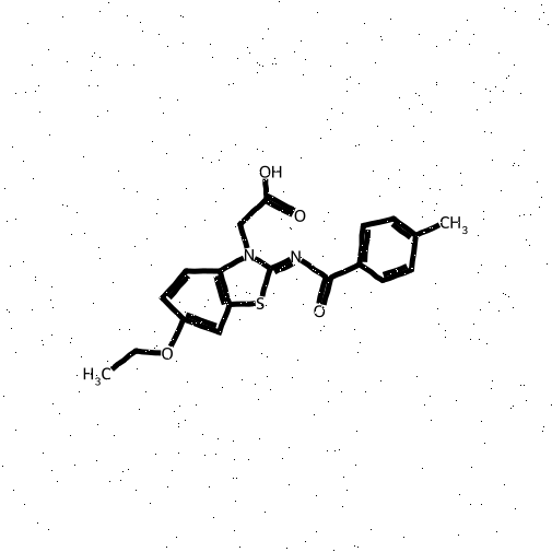 CCOc1ccc2c(c1)sc(=NC(=O)c1ccc(C)cc1)n2CC(=O)O